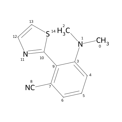 CN(C)c1cccc(C#N)c1-c1nccs1